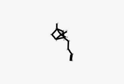 C=CCCC1CC2(C)CC1C2(C)C